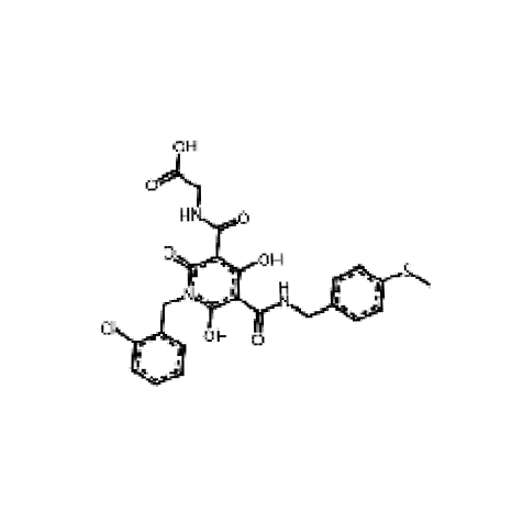 CSc1ccc(CNC(=O)c2c(O)c(C(=O)NCC(=O)O)c(=O)n(Cc3ccccc3Cl)c2O)cc1